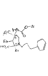 CCC1[C@](CC)(C(=O)O)N(CCCc2ccccc2)C[C@@]1(NC(=O)OC(C)(C)C)C(=O)O